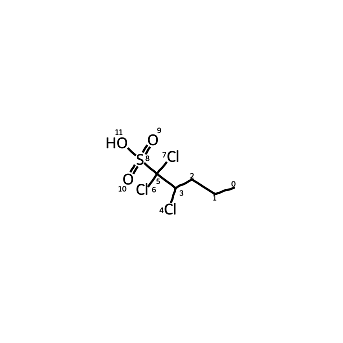 CCCC(Cl)C(Cl)(Cl)S(=O)(=O)O